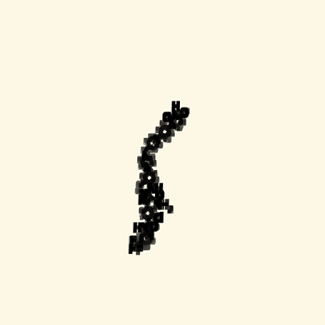 NC(=O)c1c(-c2ccc(C(=O)Nc3cc(C(F)(F)F)ccn3)c(Cl)c2)nn2c1Nc1ccc(N3CCN(CC4CCN(c5ccc(N6CCC(=O)NC6=O)cc5)CC4)CC3)cc1CC2